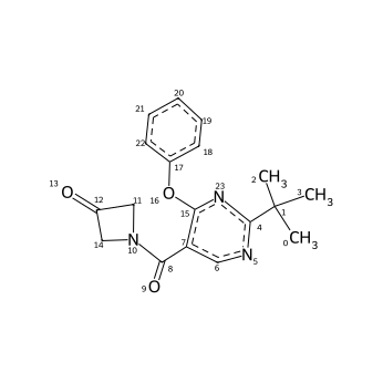 CC(C)(C)c1ncc(C(=O)N2CC(=O)C2)c(Oc2ccccc2)n1